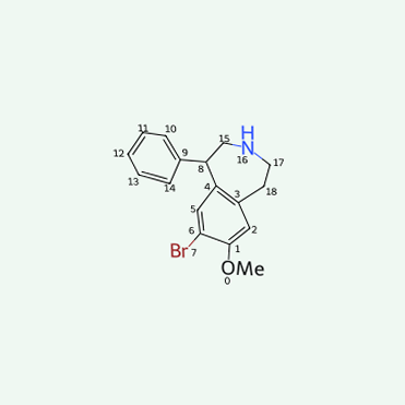 COc1cc2c(cc1Br)C(c1ccccc1)CNCC2